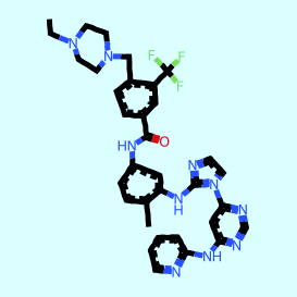 CCN1CCN(Cc2ccc(C(=O)Nc3ccc(C)c(Nc4nccn4-c4cc(Nc5ccccn5)ncn4)c3)cc2C(F)(F)F)CC1